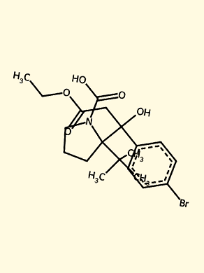 CCOC(=O)CC(O)(c1ccc(Br)cc1)C1(C(C)(C)C)CCCN1C(=O)O